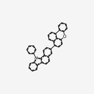 c1ccc(-n2c3ccccc3c3ccc4cc(-c5ccc6c7c(cccc57)-c5ccccc5O6)ccc4c32)cc1